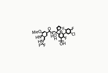 COC1=CC(C(=O)NC[C@](O)(c2cc(C(C)(C)O)c(F)c(-c3cc(Cl)c(F)cc3F)n2)c2cccs2)=C/C(=C/NC(F)F)C1=N